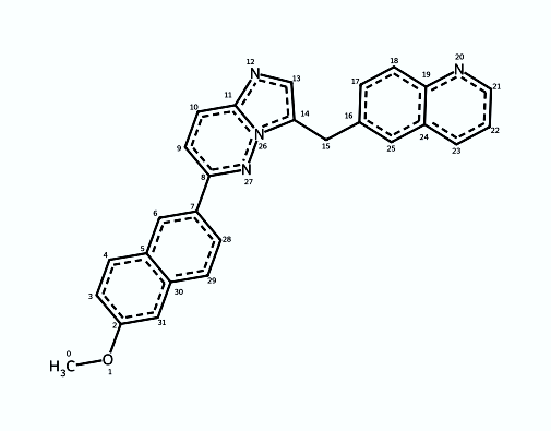 COc1ccc2cc(-c3ccc4ncc(Cc5ccc6ncccc6c5)n4n3)ccc2c1